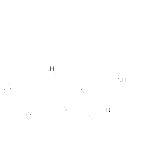 CC(N)=C(C#N)C(=O)CSc1nnc(Nc2c(C)cccc2C)s1